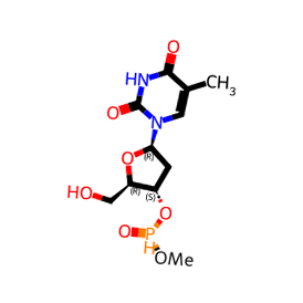 CO[PH](=O)O[C@H]1C[C@H](n2cc(C)c(=O)[nH]c2=O)O[C@@H]1CO